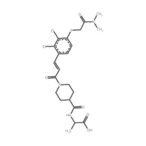 CC(NC(=O)C1CCN(C(=O)/C=C/c2ccc(SCC(=O)N(C)C)c(Cl)c2Cl)CC1)C(=O)O